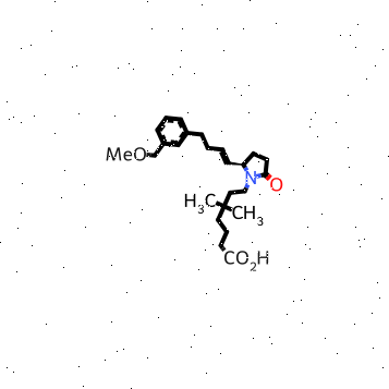 COCc1cccc(CC/C=C/[C@H]2CCC(=O)N2CCC(C)(C)CCCC(=O)O)c1